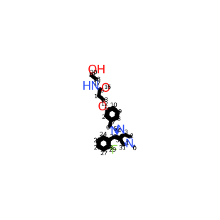 CN1Cc2nn(Cc3cccc(OCCC(=O)NCCO)c3)c(-c3ccccc3F)c2C1